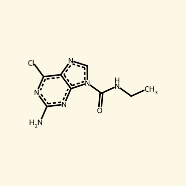 CCNC(=O)n1cnc2c(Cl)nc(N)nc21